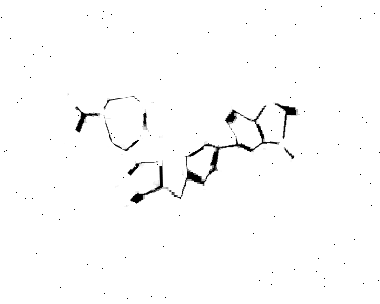 Cn1c(=O)oc2ccc(-c3ccc(C[C@@H](C#N)NC(=O)[C@@H]4CN(C(=O)O)CCCO4)cc3)cc21